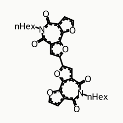 CCCCCCn1c(=O)c2ccoc2c2oc(-c3cc4c(=O)n(CCCCCC)c(=O)c5ccoc5c4o3)cc2c1=O